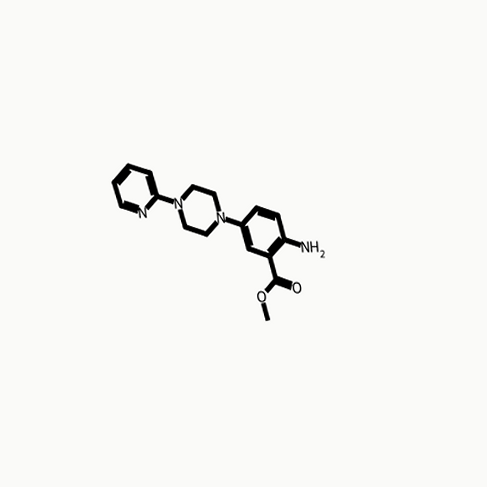 COC(=O)c1cc(N2CCN(c3ccccn3)CC2)ccc1N